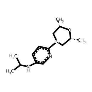 CC(C)Nc1ccc(N2C[C@@H](C)O[C@@H](C)C2)nc1